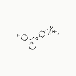 NS(=O)(=O)Cc1ccc(OCC(c2ccc(F)cc2)N2CC=CCC2)cc1